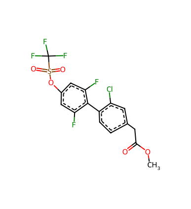 COC(=O)Cc1ccc(-c2c(F)cc(OS(=O)(=O)C(F)(F)F)cc2F)c(Cl)c1